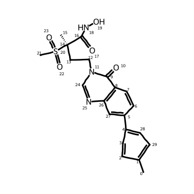 Cc1ccc(-c2ccc3c(=O)n(CC[C@](C)(C(=O)NO)S(C)(=O)=O)cnc3c2)cc1